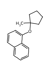 CC1(Oc2cccc3ccccc23)CCCC1